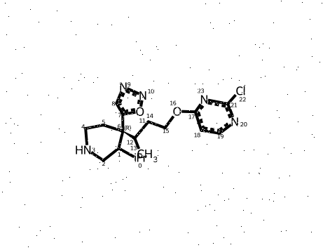 CC(C)C1CNCC[C@@]1(c1cnno1)C(C)CCOc1ccnc(Cl)n1